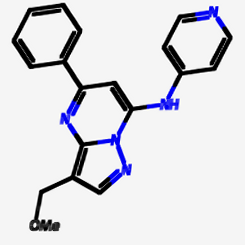 COCc1cnn2c(Nc3ccncc3)cc(-c3ccccc3)nc12